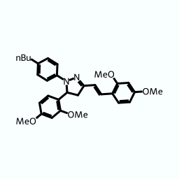 CCCCc1ccc(N2N=C(C=Cc3ccc(OC)cc3OC)CC2c2ccc(OC)cc2OC)cc1